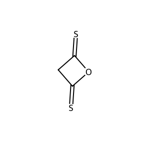 S=C1CC(=S)O1